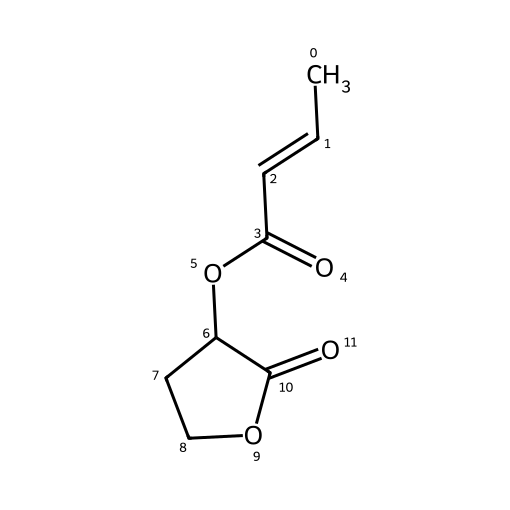 CC=CC(=O)OC1CCOC1=O